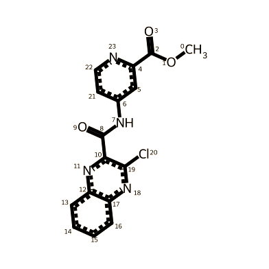 COC(=O)c1cc(NC(=O)c2nc3ccccc3nc2Cl)ccn1